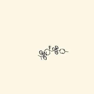 Cc1ccc(S(=O)(=O)OCC2(F)CCN(S(=O)(=O)C(C)C)CC2)cc1